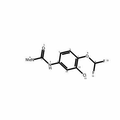 CNC(=O)Nc1ccc(OC(F)F)c(Cl)c1